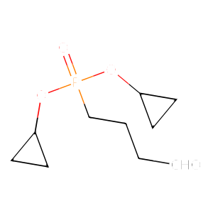 O=CCCCP(=O)(OC1CC1)OC1CC1